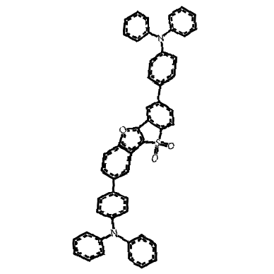 O=S1(=O)c2ccc(-c3ccc(N(c4ccccc4)c4ccccc4)cc3)cc2-c2oc3ccc(-c4ccc(N(c5ccccc5)c5ccccc5)cc4)cc3c21